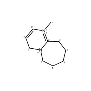 C[N+]1=C2CCCCCN2CC=C1